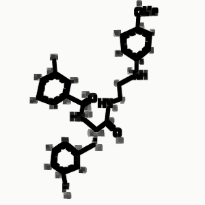 COc1ccc(NCCNC(=O)[C@H](Cc2cccc(F)c2)NC(=O)c2cccc(C)c2)cc1